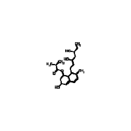 CCC(O)CC(O)CCC1C(C)C=CC2=CC(O)CC(OC(=O)C(C)C)C21